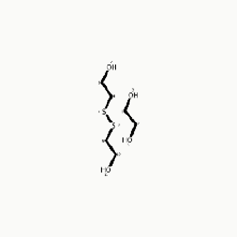 OCCO.OCCSSCCO